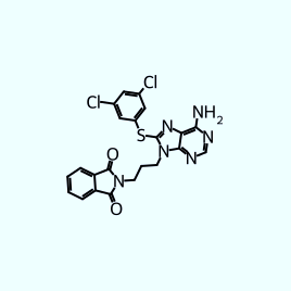 Nc1ncnc2c1nc(Sc1cc(Cl)cc(Cl)c1)n2CCCN1C(=O)c2ccccc2C1=O